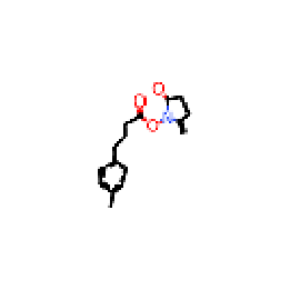 C=C1CCC(=O)N1OC(=O)CCCc1ccc(C)cc1